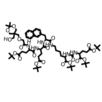 CC(C)(C)OC(=O)CCC(NC(=O)COCC1(CO)COC(C)(C)OC1)C(=O)NC(CCC(=O)OC(C)(C)C)C(=O)NC(Cc1ccc2ccccc2c1)C(=O)NCCCCC(NC(=O)NC(CCC(=O)OC(C)(C)C)C(=O)OC(C)(C)C)C(=O)OC(C)(C)C